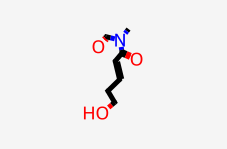 CN(C=O)C(=O)C=CCCO